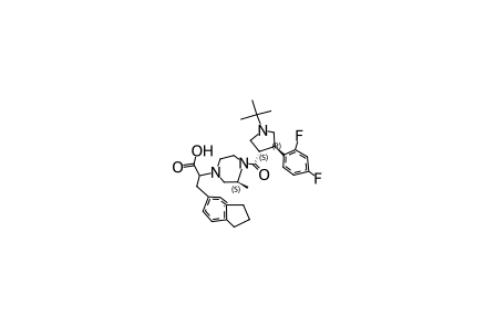 C[C@H]1CN(C(Cc2ccc3c(c2)CCC3)C(=O)O)CCN1C(=O)[C@@H]1CN(C(C)(C)C)C[C@H]1c1ccc(F)cc1F